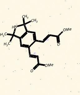 COC(=O)/C=C/c1cc2c(cc1/C=C/C(=O)OC)C(C)(C)NC2(C)C